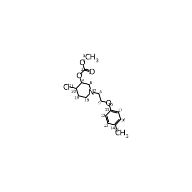 COC(=O)OC1CN(CCOc2ccc(C)cc2)CCC1Cl